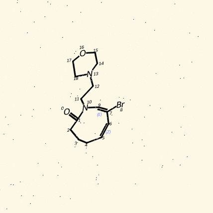 O=C1CCC/C=C\C(Br)=C/N1CCN1CCOCC1